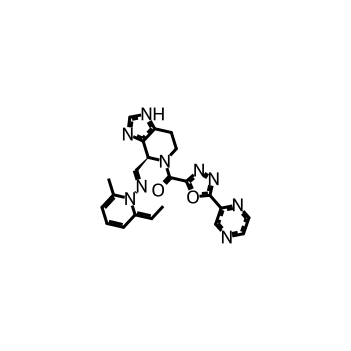 C/C=C1/C=CC=C(C)N1/N=C/[C@H]1c2nc[nH]c2CCN1C(=O)c1nnc(-c2cnccn2)o1